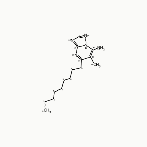 CCCCCCCCCc1nc2ncnn2c(N)c1C